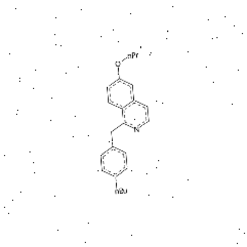 CCCCc1ccc(Cc2nccc3cc(OCCC)ccc23)cc1